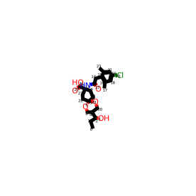 CCC(O)C1COC2(CCC(NC(=O)Cc3c(C)cc(Cl)cc3C)(C(=O)O)CC2)OC1